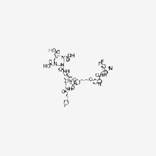 Cc1ccc(CCCC(=O)NCCCCC[C@H](CNC(=O)CN2CCN(CC(=O)O)CCN(CC(=O)O)CCN(CC(=O)O)CC2)SC2CC(=O)N(CC(=O)N3CCC(CCCCOc4ccc5nccc(C(=O)NCC(=O)N6CC(F)(F)C[C@@H]6C#N)c5c4)CC3)C2=O)cc1